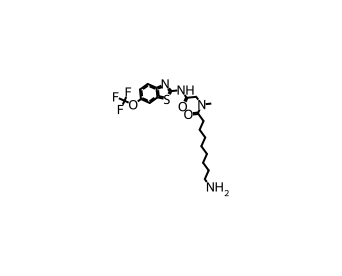 CN(CC(=O)Nc1nc2ccc(OC(F)(F)F)cc2s1)C(=O)CCCCCCCCN